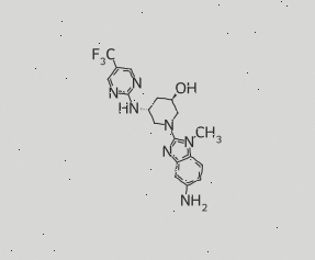 Cn1c(N2C[C@H](O)C[C@@H](Nc3ncc(C(F)(F)F)cn3)C2)nc2cc(N)ccc21